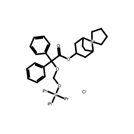 CC(C)[Si](OCOC(C(=O)OC1CC2CCC(C1)[N+]21CCCC1)(c1ccccc1)c1ccccc1)(C(C)C)C(C)C.[Cl-]